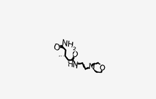 C[C@@H]([CH]C(=O)NCCN1CCOCC1)CC(N)=O